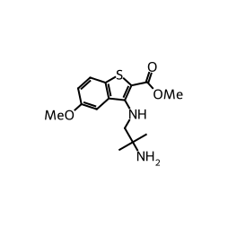 COC(=O)c1sc2ccc(OC)cc2c1NCC(C)(C)N